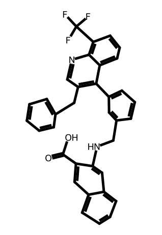 O=C(O)c1cc2ccccc2cc1NCc1cccc(-c2c(Cc3ccccc3)cnc3c(C(F)(F)F)cccc23)c1